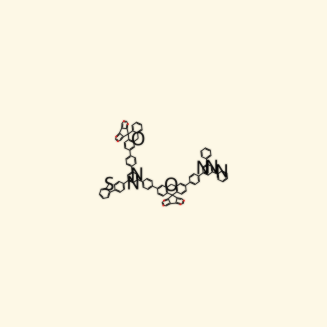 c1ccc(-c2nc(-c3ccc(-c4ccc5c(c4)Oc4cc(-c6ccc(-c7nc(-c8ccc(-c9ccc%10c(c9)Oc9ccccc9C%109c%10ccccc%10-c%10ccccc%109)cc8)cc(-c8ccc9c(c8)sc8ccccc89)n7)cc6)ccc4C54c5ccccc5-c5ccccc54)cc3)cc(-c3ccccn3)n2)cc1